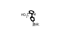 CC(=O)Nc1ccc(-c2ncccc2C(=O)O)cc1